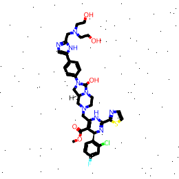 COC(=O)C1=C(CN2CCN3C(O)N(c4ccc(-c5cnc(CN(CCO)CCO)[nH]5)cc4)C[C@@H]3C2)NC(c2nccs2)=N[C@H]1c1ccc(F)cc1Cl